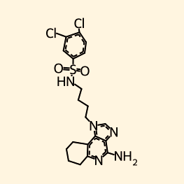 Nc1nc2c(c3c1ncn3CCCCNS(=O)(=O)c1ccc(Cl)c(Cl)c1)CCCC2